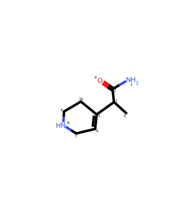 CC(C(N)=O)C1=CCNCC1